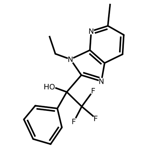 CCn1c(C(O)(c2ccccc2)C(F)(F)F)nc2ccc(C)nc21